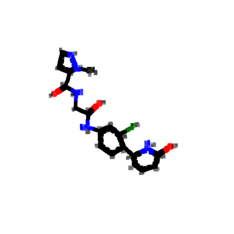 Cn1nccc1C(=O)NCC(=O)Nc1ccc(-c2cccc(=O)[nH]2)c(F)c1